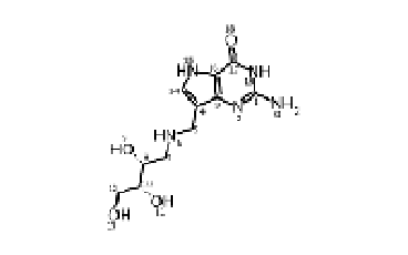 Nc1nc2c(CNC[C@@H](O)[C@H](O)CO)c[nH]c2c(=O)[nH]1